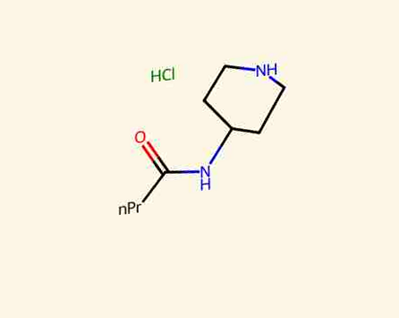 CCCC(=O)NC1CCNCC1.Cl